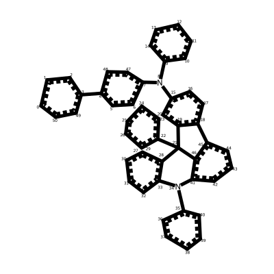 c1ccc(-c2ccc(N(c3ccccc3)c3ccc4c(c3)C3(c5ccccc5)c5ccccc5N(c5ccccc5)c5cccc-4c53)cc2)cc1